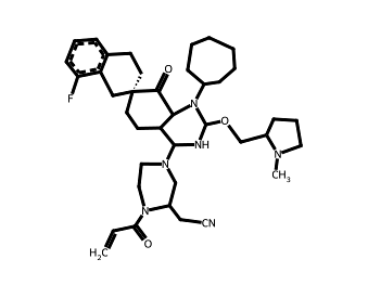 C=CC(=O)N1CCN(C2NC(OCC3CCCN3C)N(C3CCCCCC3)C3C(=O)[C@@]4(CCc5cccc(F)c5C4)CCC23)CC1CC#N